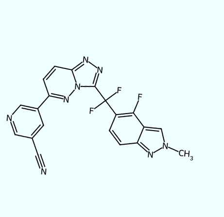 Cn1cc2c(F)c(C(F)(F)c3nnc4ccc(-c5cncc(C#N)c5)nn34)ccc2n1